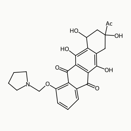 CC(=O)C1(O)Cc2c(O)c3c(c(O)c2C(O)C1)C(=O)c1c(OCN2CCCC2)cccc1C3=O